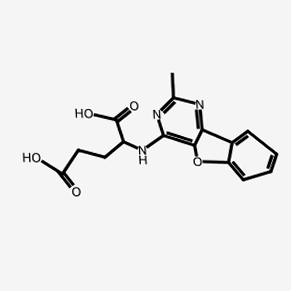 Cc1nc(NC(CCC(=O)O)C(=O)O)c2oc3ccccc3c2n1